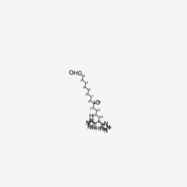 O=CCCCCCCCCC(=O)CCCCC(c1nnn[nH]1)c1nnn[nH]1